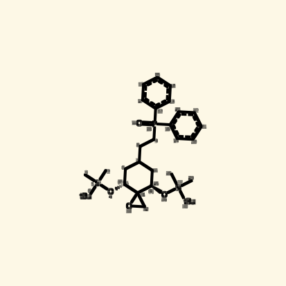 CC(C)(C)[Si](C)(C)O[C@@H]1CC(CCP(=O)(c2ccccc2)c2ccccc2)C[C@@H](O[Si](C)(C)C(C)(C)C)C12CO2